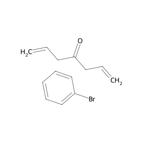 Brc1ccccc1.C=CCC(=O)CC=C